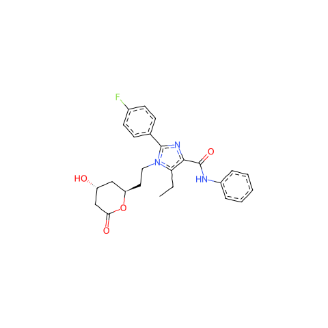 CCc1c(C(=O)Nc2ccccc2)nc(-c2ccc(F)cc2)n1CC[C@@H]1C[C@@H](O)CC(=O)O1